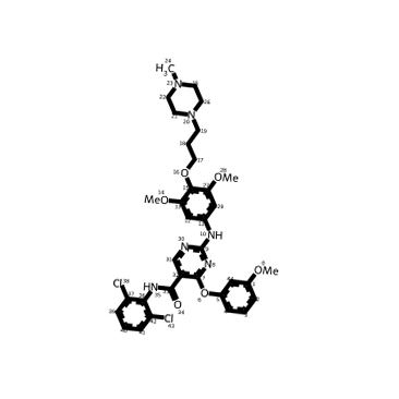 COc1cccc(Oc2nc(Nc3cc(OC)c(OCCCN4CCN(C)CC4)c(OC)c3)ncc2C(=O)Nc2c(Cl)cccc2Cl)c1